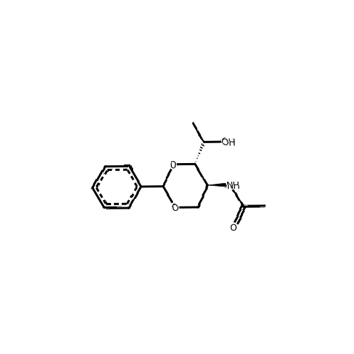 CC(=O)N[C@H]1COC(c2ccccc2)O[C@@H]1C(C)O